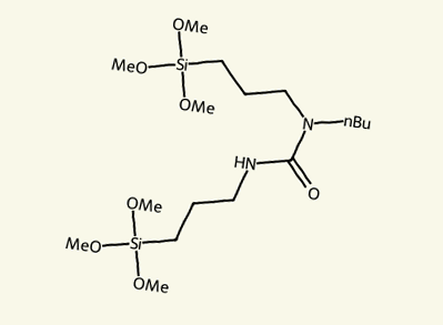 CCCCN(CCC[Si](OC)(OC)OC)C(=O)NCCC[Si](OC)(OC)OC